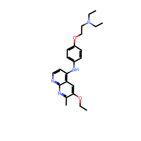 CCOc1cc2c(Nc3ccc(OCCN(CC)CC)cc3)ccnc2nc1C